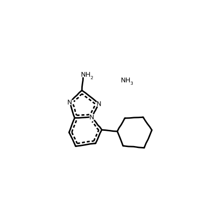 N.Nc1nc2cccc(C3CCCCC3)n2n1